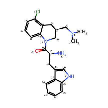 CN(C)C[C@@H]1Cc2c(Cl)cccc2N(C(=O)[C@@H](N)Cc2c[nH]c3ccccc23)C1